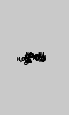 CN1C(=O)C2(CCC2)c2c1cnc1ccc(-c3cnc(N4CC5CC(C4)N5C(=O)O)c(N)c3)cc21